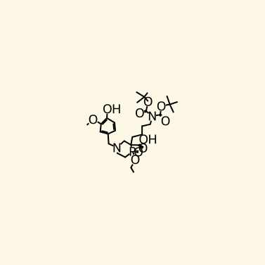 CCOP1(=O)CCN(Cc2ccc(O)c(OC)c2)CC1(CCCCN(C(=O)OC(C)(C)C)C(=O)OC(C)(C)C)C(=O)O